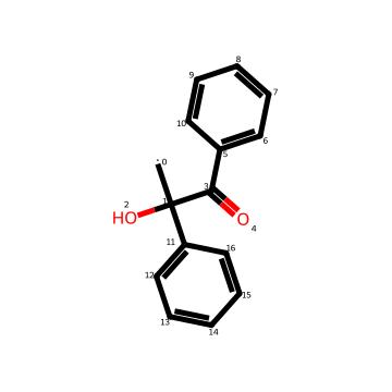 [CH2]C(O)(C(=O)c1ccccc1)c1ccccc1